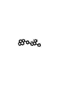 c1ccc(-c2cc3ccc(-c4ccc(-c5ccc6ccc7cccc8ccc5c6c78)cc4)nc3c3ncccc23)cc1